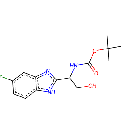 CC(C)(C)OC(=O)NC(CO)c1nc2cc(Br)ccc2[nH]1